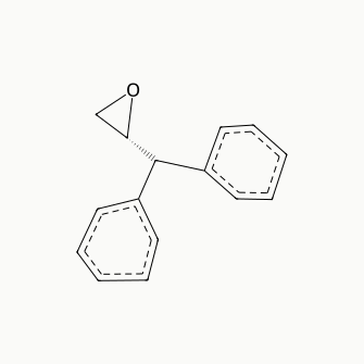 c1ccc(C(c2ccccc2)[C@@H]2CO2)cc1